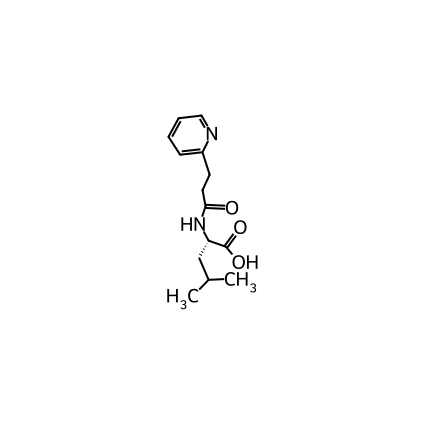 CC(C)C[C@H](NC(=O)CCc1ccccn1)C(=O)O